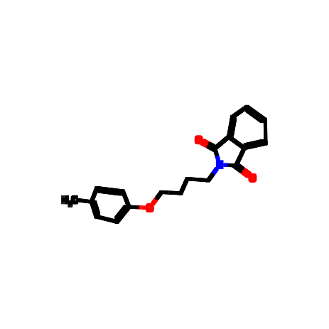 Cc1ccc(OCCCCN2C(=O)c3ccccc3C2=O)cc1